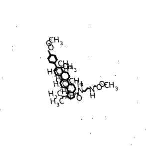 C=C(C)[C@@H]1CC[C@]2(C(=O)NCCNCOOC)CC[C@]3(C)[C@H](CC[C@@H]4[C@@]5(C)CC=C(c6ccc(COOC)cc6)C(C)(C)[C@@H]5CC[C@]43C)[C@@H]12